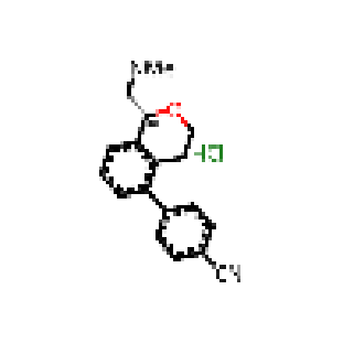 CNC[C@@H]1OCCc2c(-c3ccc(C#N)cc3)cccc21.Cl